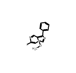 CO[N+]12C=NC(c3ccccc3)=C1C=NC(I)=C2